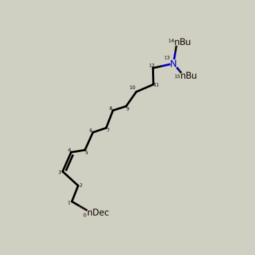 CCCCCCCCCCCC/C=C\CCCCCCCCN(CCCC)CCCC